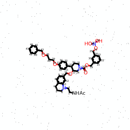 CC(=O)NCCN1CCCc2ccc(COC3CN(C(=O)OCc4cccc(CON(O)O)c4)CCC3c3ccc(OCCCOCc4ccccc4)cc3)cc21